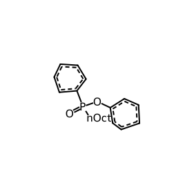 CCCCCCCCP(=O)(Oc1ccccc1)c1ccccc1